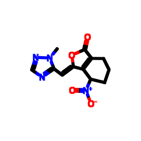 Cn1ncnc1/C=C1\OC(=O)C2=C1C([N+](=O)[O-])CCC2